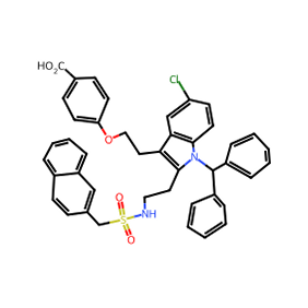 O=C(O)c1ccc(OCCc2c(CCNS(=O)(=O)Cc3ccc4ccccc4c3)n(C(c3ccccc3)c3ccccc3)c3ccc(Cl)cc23)cc1